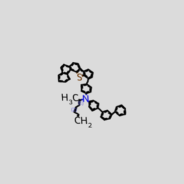 C=C/C=C\C=C(/C)N(c1ccc(-c2cccc(-c3ccccc3)c2)cc1)c1ccc(-c2cccc3c2sc2c3ccc3ccc4ccccc4c32)cc1